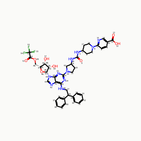 O=C(NC1CCN(c2ccc(C(=O)O)cn2)CC1)NC1CCN(c2nc(NCC(c3ccccc3)c3ccccc3)c3ncn([C@@H]4O[C@H](COC(=O)C(F)(F)F)[C@H](O)[C@@H]4O)c3n2)C1